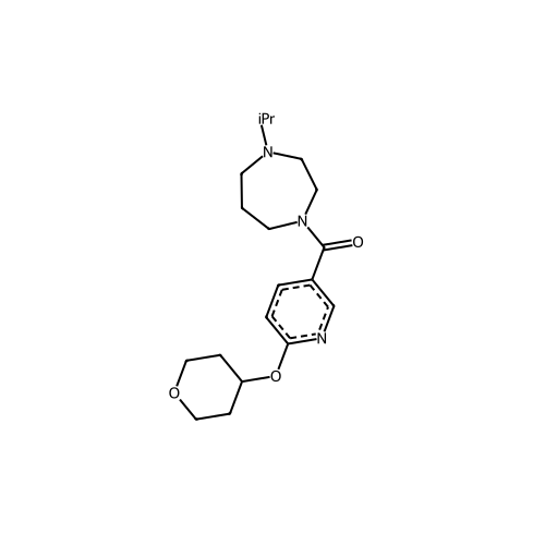 CC(C)N1CCCN(C(=O)c2ccc(OC3CCOCC3)nc2)CC1